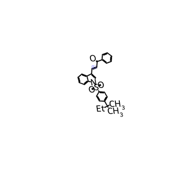 CCC(C)(C)c1ccc(S(=O)(=O)n2cc(/C=C/C(=O)c3ccccc3)c3ccccc32)cc1